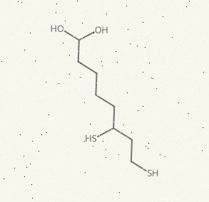 OC(O)CCCCC(S)CCS